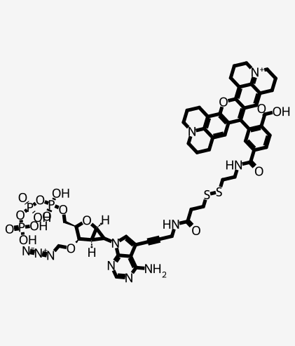 [N-]=[N+]=NCO[C@H]1[C@@H]2C(n3cc(C#CCNC(=O)CCSSCCNC(=O)c4ccc(C(=O)O)c(C5=c6cc7c8c(c6Oc6c5cc5c9c6CCCN9CCC5)CCC[N+]=8CCC7)c4)c4c(N)ncnc43)[C@@H]2O[C@@H]1COP(=O)(O)OP(=O)(O)OP(=O)(O)O